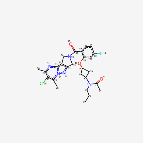 CCCN(C(C)=O)[C@H]1C[C@@H](Oc2cc(F)ccc2C(=O)N2Cc3nn4c(C)c(Cl)c(C)nc4c3C2)C1